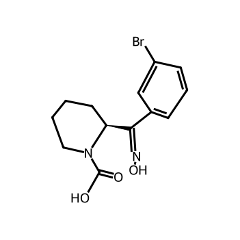 O=C(O)N1CCCC[C@H]1/C(=N\O)c1cccc(Br)c1